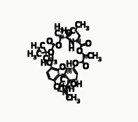 Cc1ccc(O)c2c1[C@]13CC4CN(C)[C@H]4[C@]1(O)CC=C(OC(=O)[C@H](C)OC(=O)[C@H](CC(C)C)NC(=O)[C@H](C)OC(=O)OC(C)(C)C)[C@@H]3O2